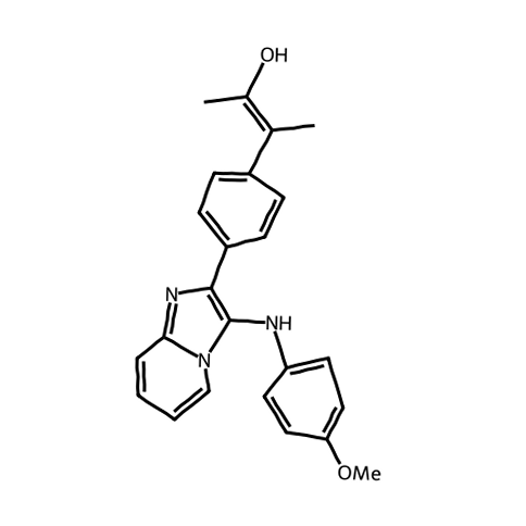 COc1ccc(Nc2c(-c3ccc(/C(C)=C(\C)O)cc3)nc3ccccn23)cc1